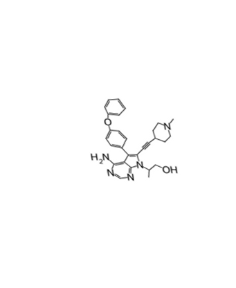 CC(CO)n1c(C#CC2CCN(C)CC2)c(-c2ccc(Oc3ccccc3)cc2)c2c(N)ncnc21